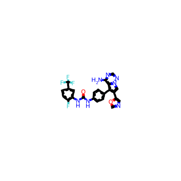 Nc1ncnn2cc(-c3cnco3)c(-c3ccc(NC(=O)Nc4cc(C(F)(F)F)ccc4F)cc3)c12